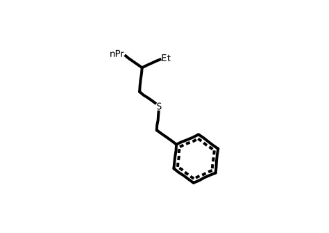 CCCC(CC)CSCc1ccccc1